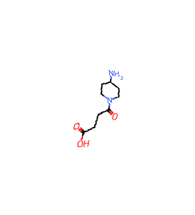 NC1CCN(C(=O)CCC(=O)O)CC1